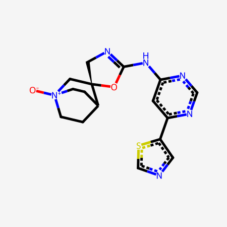 [O-][N+]12CCC(CC1)[C@]1(CN=C(Nc3cc(-c4cncs4)ncn3)O1)C2